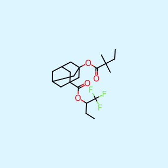 CCC(OC(=O)C12CC3CC(CC(OC(=O)C(C)(C)CC)(C3)C1)C2)C(F)(F)F